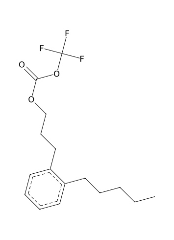 CCCCCc1ccccc1CCCOC(=O)OC(F)(F)F